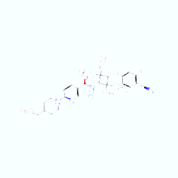 CC1(C)[C@H](NC(=O)c2ccc(N3CCC(CO)CC3)nc2)C(C)(C)[C@H]1Oc1ccc(C#N)c(Cl)c1